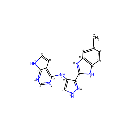 Cc1ccc2[nH]c(-c3n[nH]cc3Nc3ncnc4[nH]ccc34)nc2c1